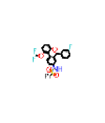 CC(C)S(=O)(=O)Nc1ccc2c(c1)C(c1cccc(F)c1)Oc1cccc(OC(F)F)c1-2